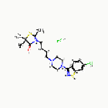 CC1SC(C)(C)C(=O)N1CCCCN1CCN(c2nsc3cc(Cl)ccc23)CC1.Cl